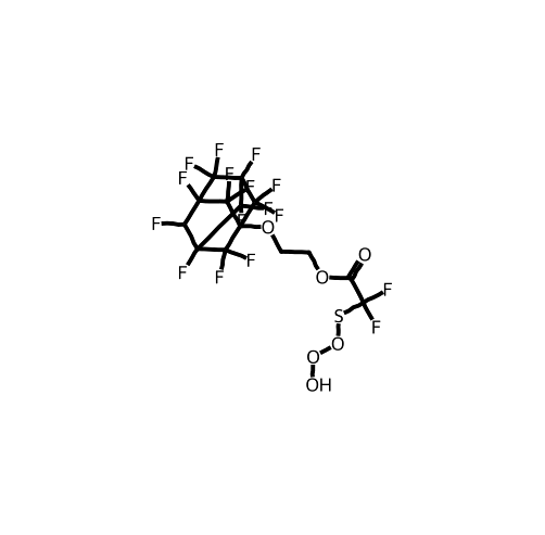 O=C(OCCOC12C(F)(F)C3(F)C(F)C(F)(C(F)(F)C(F)(C3(F)F)C1(F)F)C2(F)F)C(F)(F)SOOO